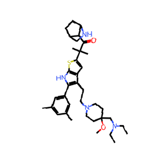 CCN(CC)CC1(OC)CCN(CCc2c(-c3cc(C)cc(C)c3)[nH]c3sc(C(C)(C)C(=O)C4C5CCC4NC5)cc23)CC1